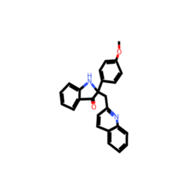 COc1ccc(C2(Cc3ccc4ccccc4n3)Nc3ccccc3C2=O)cc1